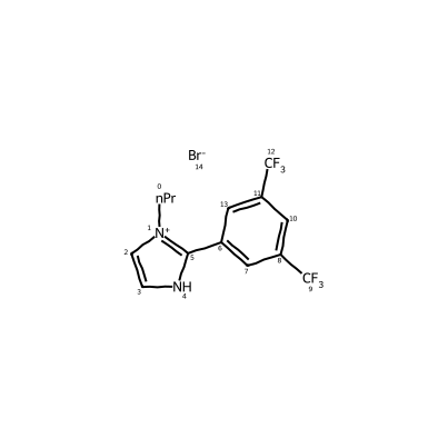 CCC[n+]1cc[nH]c1-c1cc(C(F)(F)F)cc(C(F)(F)F)c1.[Br-]